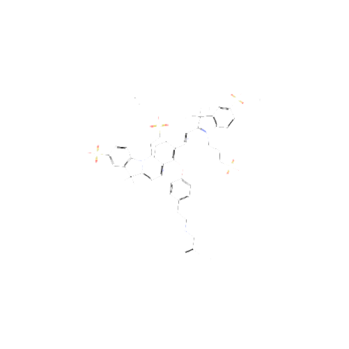 C=C(C)CNCCc1ccc(OC2=C(/C=C/C3=[N+](CCCS(=O)(=O)[O-])c4ccc(S(=O)(=O)[O-])cc4C3(C)C)CCC/C2=C\C=C2/N(CCCS(=O)(=O)[O-])c3ccc(S(=O)(=O)[O-])cc3C2(C)C)cc1.[K+].[K+].[K+]